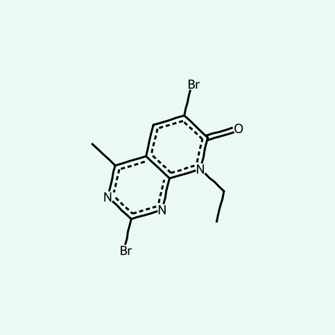 CCn1c(=O)c(Br)cc2c(C)nc(Br)nc21